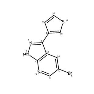 Brc1cnc2[nH]nc(-c3ccsc3)c2c1